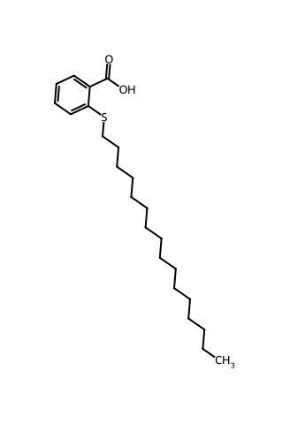 CCCCCCCCCCCCCCCCSc1ccccc1C(=O)O